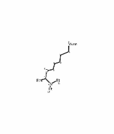 CCCCCCCCCCCCCCOC(CC)N(CC)CC